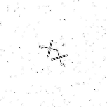 O=S(=O)([N]S(=O)(=O)C(F)(F)F)C(F)(F)F.[Li]